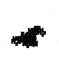 C[C@H]1CCCN1C(=O)c1nc(C(=O)NCC(C)(C)O)sc1-c1cnc(NC(C)(C)C(F)(F)F)cc1C(F)(F)F